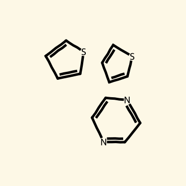 c1ccsc1.c1ccsc1.c1cnccn1